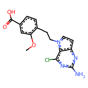 COc1cc(C(=O)O)ccc1CCn1ccc2nc(N)nc(Cl)c21